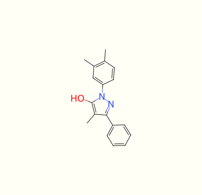 Cc1ccc(-n2nc(-c3ccccc3)c(C)c2O)cc1C